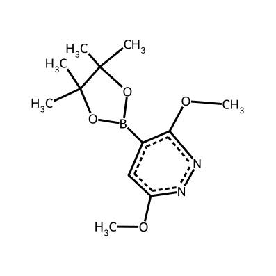 COc1cc(B2OC(C)(C)C(C)(C)O2)c(OC)nn1